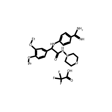 CCOc1cc(C(Nc2ccc(C(=N)N)cc2)C(=O)NN2CCOCC2)ccc1OC(C)C.O=C(O)C(F)(F)F